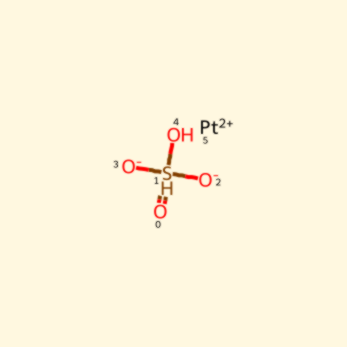 O=[SH]([O-])([O-])O.[Pt+2]